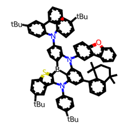 CC(C)(C)c1ccc(N(c2ccc3c(c2)N(c2ccc4oc5ccccc5c4c2)c2cc(-c4cccc5c4C(C)(C)CCC5(C)C)cc4c2B3c2sc3ccc(C(C)(C)C)cc3c2N4c2ccc(C(C)(C)C)cc2)c2ccc(C(C)(C)C)cc2-c2ccccc2)cc1